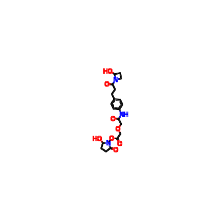 O=C(COCC(=O)ON1C(=O)CCC1O)Nc1ccc(CCC(=O)N2CCC2O)cc1